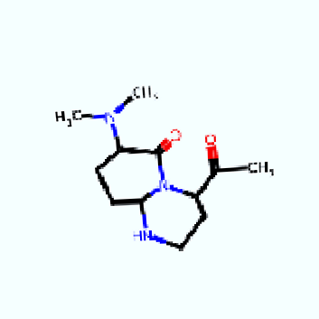 CC(=O)C1CCNC2CCC(N(C)C)C(=O)N21